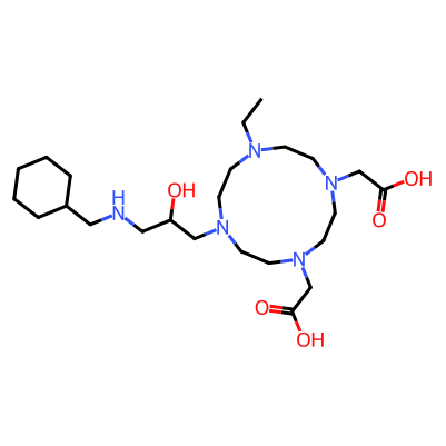 CCN1CCN(CC(=O)O)CCN(CC(=O)O)CCN(CC(O)CNCC2CCCCC2)CC1